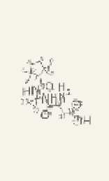 CC1(C)CCC(C)(C)C1C(=O)NC1(NC(=O)[C@@H](N)CC(=O)O)CC1